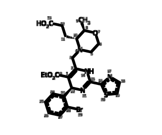 CCOC(=O)C1=C(CN2CCO[C@H](C)[C@H]2CCC(=O)O)NC(c2nccs2)=N[C@H]1c1ccccc1Br